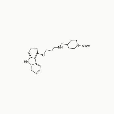 CCCCCCN1CCC(CNCCCOc2cccc3[nH]c4ccccc4c23)CC1